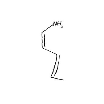 C/C=C/C=C\N